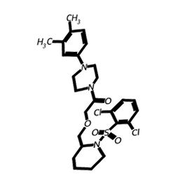 Cc1ccc(N2CCN(C(=O)COCC3CCCCN3S(=O)(=O)c3c(Cl)cccc3Cl)CC2)cc1C